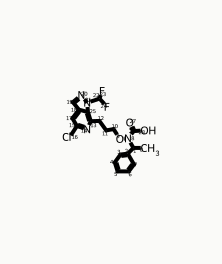 CC(c1ccccc1)N(OCCCc1nc(Cl)cc2cnn(C(F)F)c12)C(=O)O